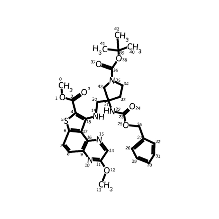 COC(=O)c1sc2ccc3nc(OC)cnc3c2c1NCC1(NC(=O)OCc2ccccc2)CCN(C(=O)OC(C)(C)C)C1